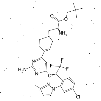 Cc1ccn(-c2cc(Cl)ccc2[C@@H](Oc2cc(C3=CCC(C[C@H](N)C(=O)OCC(C)(C)C)CC3)nc(N)n2)C(F)(F)F)n1